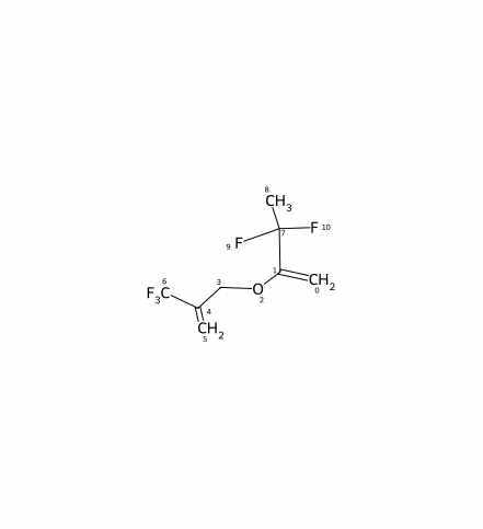 C=C(OCC(=C)C(F)(F)F)C(C)(F)F